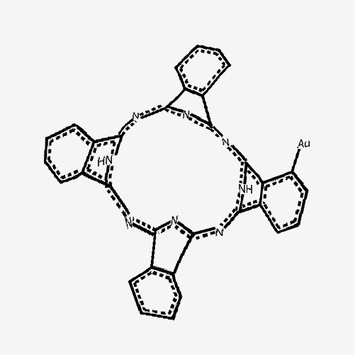 [Au][c]1cccc2c3nc4nc(nc5[nH]c(nc6nc(nc([nH]3)c12)-c1ccccc1-6)c1ccccc51)-c1ccccc1-4